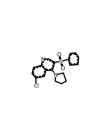 O=S(=O)(c1ccccc1)c1cnc2ccc(Cl)cc2c1N1CCCC1